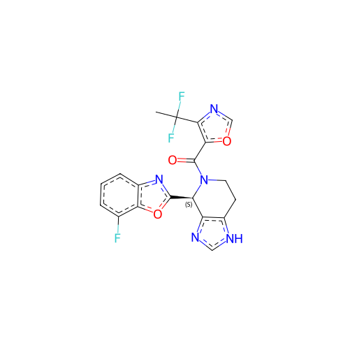 CC(F)(F)c1ncoc1C(=O)N1CCc2[nH]cnc2[C@H]1c1nc2cccc(F)c2o1